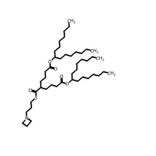 CCCCCCCC(CCCCCCC)OC(=O)CCCC(CCCC(=O)OC(CCCCCCC)CCCCCCC)C(=O)SCCCN1CCC1